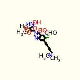 CN(C)CC#CC#Cc1cc2ncn(CCC(C)(C(=O)NO)S(C)(=O)=O)c(=O)c2cc1F.O=CO